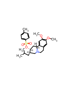 COc1cc2c(cc1OC)[C@H]1C[C@@H](OS(=O)(=O)c3ccc(C)cc3)[C@H](CC(C)C)CN1CC2